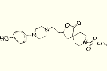 CS(=O)(=O)N1CCC2(CC1)CC(CCN1CCN(c3ccc(O)cc3)CC1)OC2=O